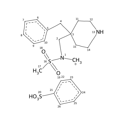 CN(CC1(Cc2ccccc2)CCNCC1)S(C)(=O)=O.O=S(=O)(O)c1ccccc1